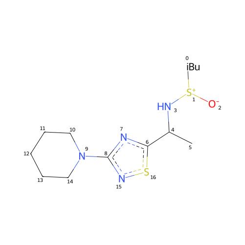 CCC(C)[S+]([O-])NC(C)c1nc(N2CCCCC2)ns1